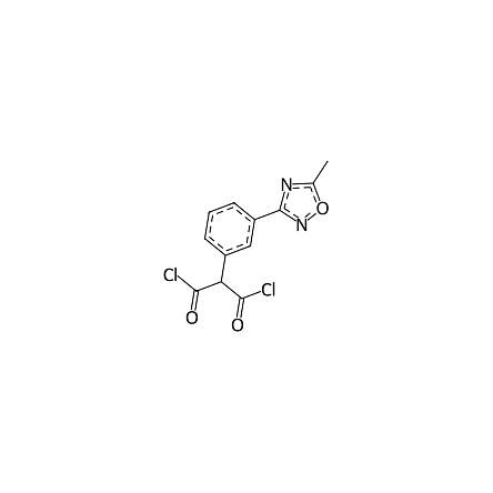 Cc1nc(-c2cccc(C(C(=O)Cl)C(=O)Cl)c2)no1